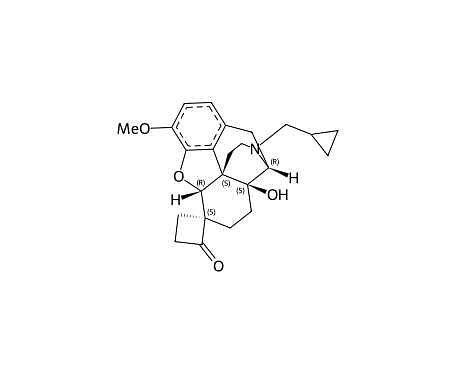 COc1ccc2c3c1O[C@H]1[C@@]4(CCC4=O)CC[C@@]4(O)[C@@H](C2)N(CC2CC2)CC[C@]314